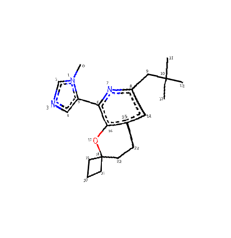 Cn1cncc1-c1nc(CC(C)(C)C)cc2c1OC1(CCC1)CC2